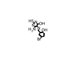 Nc1nc(S)nc(O)c1N=Cc1cc(Br)ccc1O